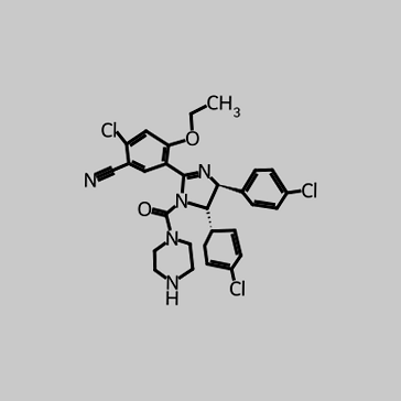 CCOc1cc(Cl)c(C#N)cc1C1=N[C@@H](c2ccc(Cl)cc2)C([C@@H]2C=CC(Cl)=CC2)N1C(=O)N1CCNCC1